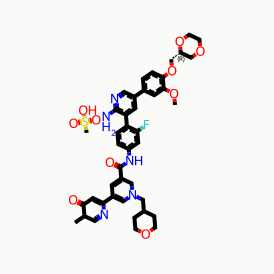 COc1cc(-c2cnc(N)c(-c3ccc(NC(=O)C4=CC(C5=CC(=O)C(C)C=N5)=CN(CC5CCOCC5)C4)cc3F)c2)ccc1OC[C@H]1COCCO1.CS(=O)(=O)O